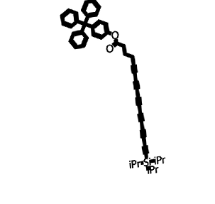 CC(C)[Si](C#CC#CC#CC#CC#CC#CCCCC(=O)Oc1ccc(C(c2ccccc2)(c2ccccc2)c2ccccc2)cc1)(C(C)C)C(C)C